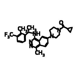 Cc1c([C@@H](C)Nc2nnc(C)c3ccc(N4CCN(C(=O)C5CC5)CC4)cc23)cccc1C(F)(F)F